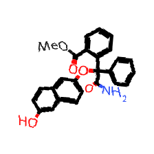 COC(=O)c1ccccc1C(Oc1ccc2cc(O)ccc2c1)(C(N)=O)c1ccccc1